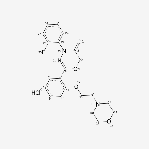 Cl.O=C1COC(c2ccccc2OCCN2CCOCC2)=NN1c1ccccc1F